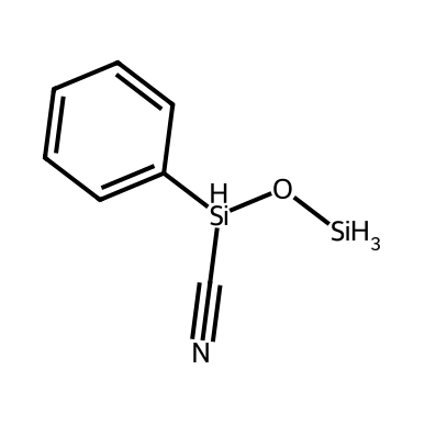 N#C[SiH](O[SiH3])c1ccccc1